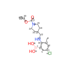 Cc1cc(Cl)cc(B(O)O)c1NCC1CCN(C(=O)OC(C)(C)C)CC1